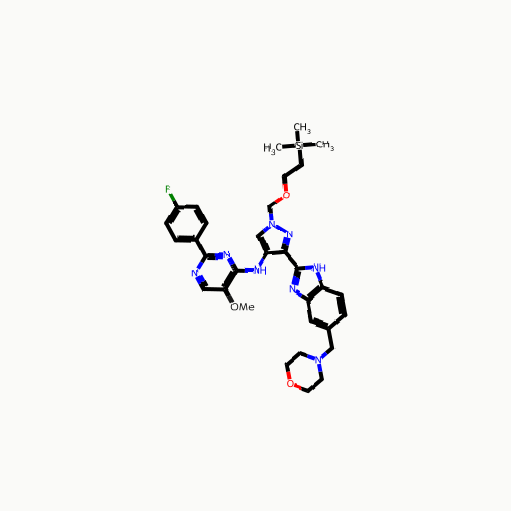 COc1cnc(-c2ccc(F)cc2)nc1Nc1cn(COCC[Si](C)(C)C)nc1-c1nc2cc(CN3CCOCC3)ccc2[nH]1